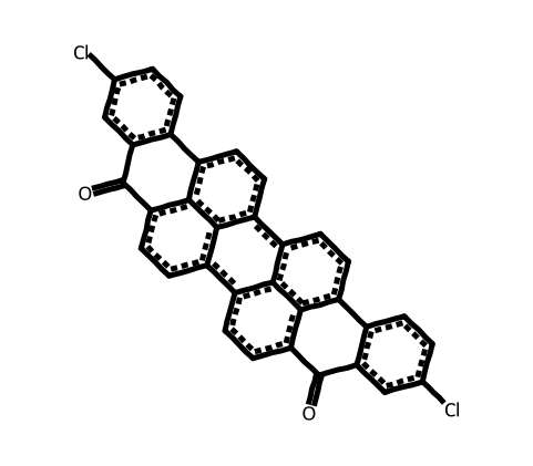 O=C1c2cc(Cl)ccc2-c2ccc3c4ccc5c6c(ccc(c7ccc1c2c73)c64)C(=O)c1cc(Cl)ccc1-5